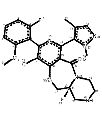 COc1cccc(F)c1-c1nc(-c2c(C)cnn2C)c2c(c1Cl)OC[C@H]1CNCCN1C2=O